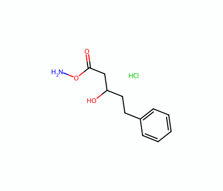 Cl.NOC(=O)CC(O)CCc1ccccc1